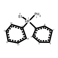 CC[PH](P)(c1ccccc1)c1ccccc1